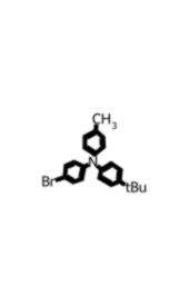 Cc1ccc(N(c2ccc(Br)cc2)c2ccc(C(C)(C)C)cc2)cc1